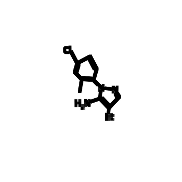 [CH2]Cc1cnn(-c2ccc(Cl)cc2C)c1N